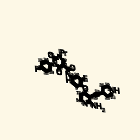 CC(C)n1cc(C(=O)Nc2ccc(Oc3ccnc(N)c3C#CC3CCNCC3)c(F)c2)c(=O)n(-c2ccc(F)cc2)c1=O